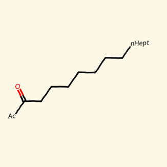 CCCCCCCCCCCCCCC(=O)C(C)=O